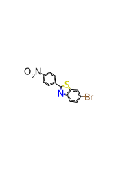 O=[N+]([O-])c1ccc(-c2nc3ccc(Br)cc3s2)cc1